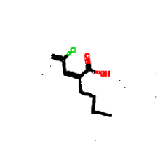 C=C(Cl)C=C(CCCC)C(=O)O